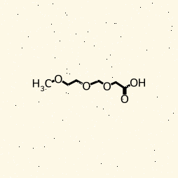 COCCOCOCC(=O)O